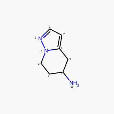 NC1CCn2nccc2C1